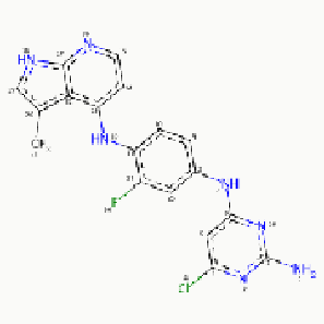 Nc1nc(Cl)cc(Nc2ccc(Nc3ccnc4[nH]cc(C(F)(F)F)c34)c(F)c2)n1